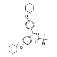 CCC(C)(C)C(=O)OC(c1ccc(OC2(C)CCCCC2)cc1)c1ccc(OC2(C)CCCCC2)cc1